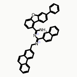 N/C(=N\C(=N/Cc1ccc2c(ccc3ccccc32)c1)c1ccc2ccccc2c1)c1cccc2oc3cc(-c4ccccc4)ccc3c12